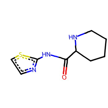 O=C(Nc1nccs1)C1CCCCN1